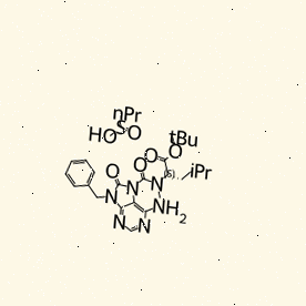 CC(C)C[C@@H](C(=O)OC(C)(C)C)N(C)C(=O)n1c(=O)n(Cc2ccccc2)c2ncnc(N)c21.CCCS(=O)O